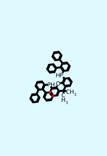 CC1(C)c2cccc(Pc3cccc(-c4ccccc4)c3-c3ccccc3)c2Oc2c(Pc3cccc(-c4ccccc4)c3-c3ccccc3)cccc21